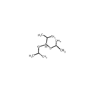 CC(C)O[SiH](OC(C)C)C(C)C